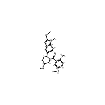 CCc1cc2cc(C3CCC(OC)CC3C(=O)c3cc(OC)ccc3OC)ccc2n1C